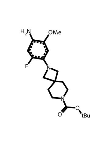 COc1cc(N2CC3(CCN(C(=O)OC(C)(C)C)CC3)C2)c(F)cc1N